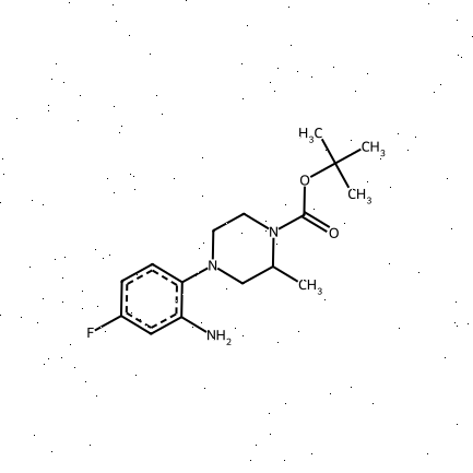 CC1CN(c2ccc(F)cc2N)CCN1C(=O)OC(C)(C)C